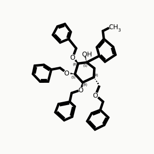 CCc1cccc([C@@]2(O)C[C@H](COCc3ccccc3)[C@@H](OCc3ccccc3)[C@H](OCc3ccccc3)[C@H]2OCc2ccccc2)c1